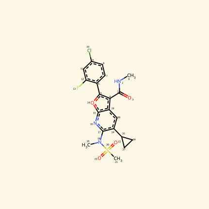 CNC(=O)c1c(-c2ccc(Cl)cc2F)oc2nc(N(C)S(C)(=O)=O)c(C3CC3)cc12